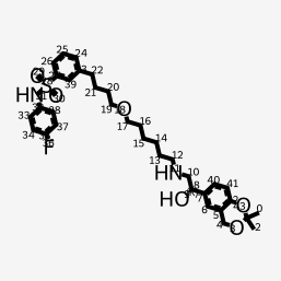 CC1(C)OCc2cc([C@@H](O)CNCCCCCCOCCCCc3cccc(S(=O)(=O)Nc4ccc(F)cc4)c3)ccc2O1